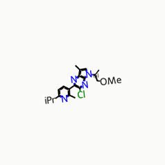 COC[C@H](C)n1cc(C)c2nc(-c3ccc(C(C)C)nc3C)c(Cl)nc21